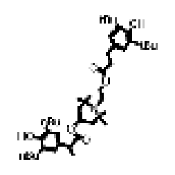 CCCCc1cc(C(C)C(=O)OC2CC(C)(C)N(CCOC(=O)CCc3cc(C(C)(C)C)c(O)c(C(C)(C)C)c3)C(C)(C)C2)cc(CCCC)c1O